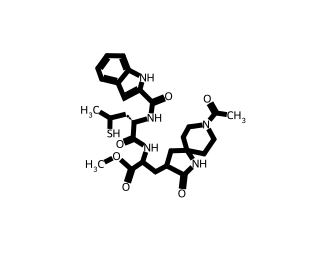 COC(=O)C(CC1CC2(CCN(C(C)=O)CC2)NC1=O)NC(=O)[C@H](CC(C)S)NC(=O)c1cc2ccccc2[nH]1